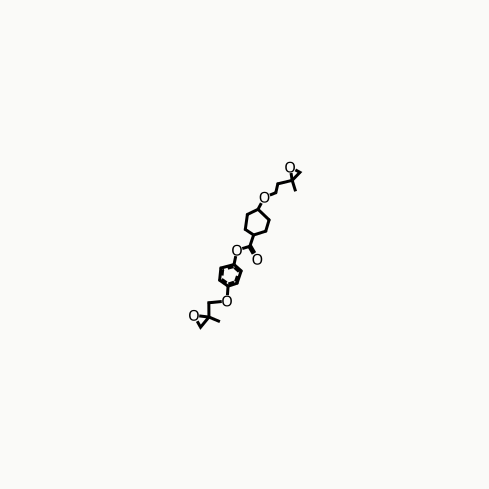 CC1(CCOC2CCC(C(=O)Oc3ccc(OCC4(C)CO4)cc3)CC2)CO1